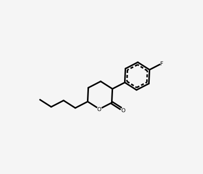 CCCCC1CCC(c2ccc(F)cc2)C(=O)O1